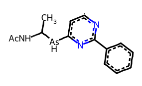 CC(=O)NC(C)[AsH]c1c[c]nc(-c2ccccc2)n1